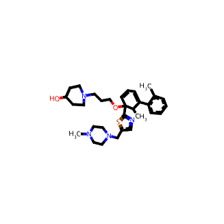 Cc1ccccc1C1=CC=CC(OCCCN2CCC(O)CC2)(c2ncc(CN3CCN(C)CC3)s2)C1C